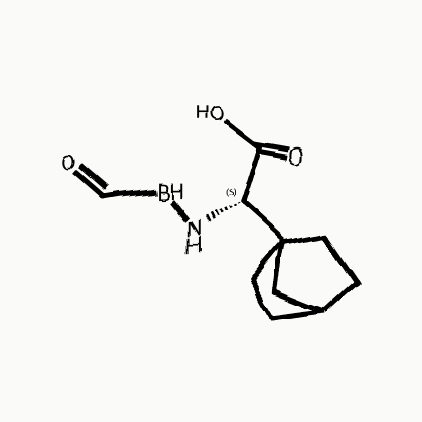 O=CBN[C@H](C(=O)O)C12CCC(CC1)C2